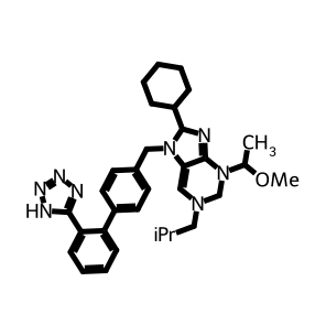 COC(C)N1CN(CC(C)C)C=C2C1=NC(C1CCCCC1)N2Cc1ccc(-c2ccccc2-c2nnn[nH]2)cc1